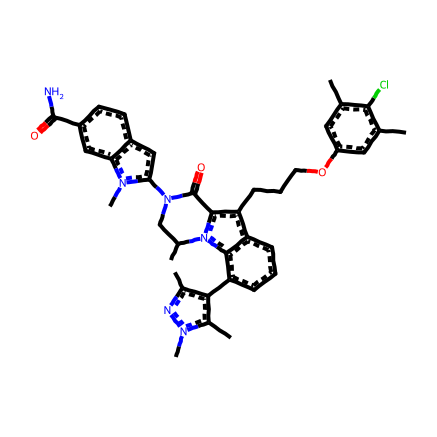 Cc1cc(OCCCc2c3n(c4c(-c5c(C)nn(C)c5C)cccc24)C(C)CN(c2cc4ccc(C(N)=O)cc4n2C)C3=O)cc(C)c1Cl